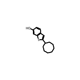 Oc1ccc2cc(C3CCCCCCC3)sc2c1